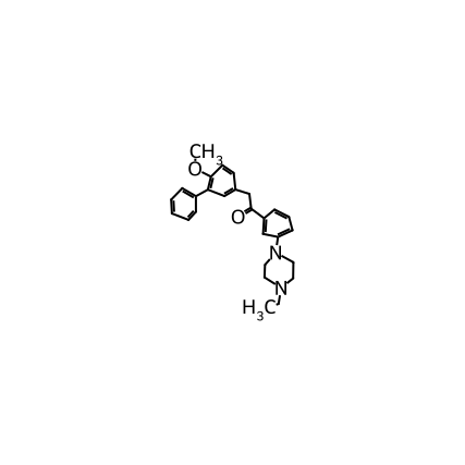 CCN1CCN(c2cccc(C(=O)Cc3ccc(OC)c(-c4ccccc4)c3)c2)CC1